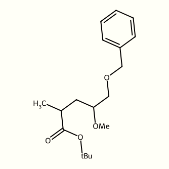 COC(COCc1ccccc1)CC(C)C(=O)OC(C)(C)C